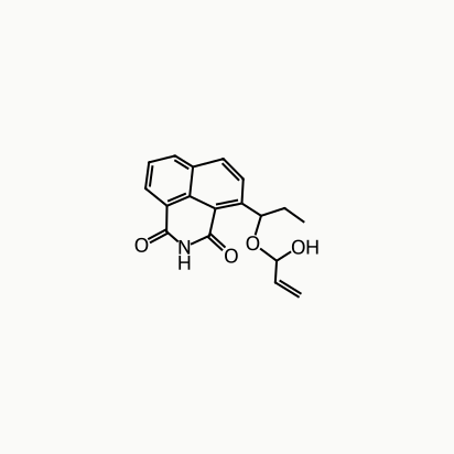 C=CC(O)OC(CC)c1ccc2cccc3c2c1C(=O)NC3=O